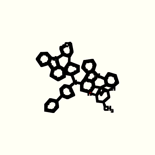 C[C@H]1C[C@H]2CCC[C@@H](C1)C21c2ccccc2-n2c3ccccc3c3c(N(c4ccc(-c5ccccc5)cc4)c4ccc(-c5ccccc5-n5c6ccccc6c6ccccc65)cc4)ccc1c32